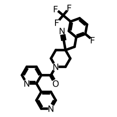 N#CC1(Cc2cc(C(F)(F)F)ccc2F)CCN(C(=O)c2cccnc2-c2ccncc2)CC1